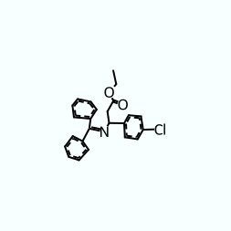 CCOC(=O)CC(N=C(c1ccccc1)c1ccccc1)c1ccc(Cl)cc1